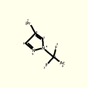 CC(=O)C(F)(F)n1cc(C(C)C)cn1